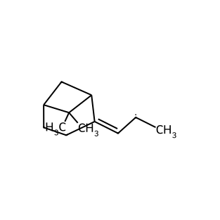 C[CH]C=C1CCC2CC1C2(C)C